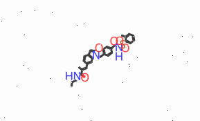 CCCNC(=O)/C(C)=C/c1ccc2ccn(Cc3ccc(C(=O)NS(=O)(=O)c4ccccc4C)cc3OC)c2c1